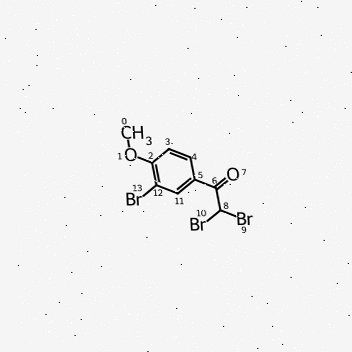 COc1ccc(C(=O)C(Br)Br)cc1Br